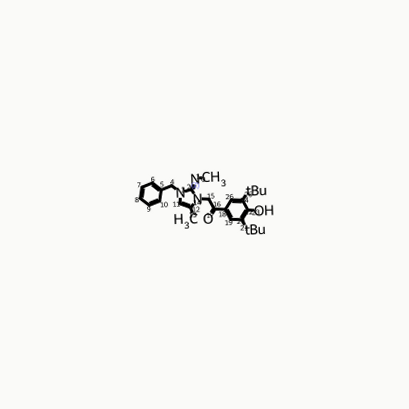 C/N=c1/n(Cc2ccccc2)cc(C)n1CC(=O)c1cc(C(C)(C)C)c(O)c(C(C)(C)C)c1